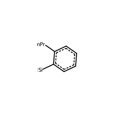 CCCc1ccccc1[Si]